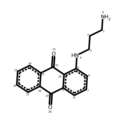 NCCCNc1cccc2c1C(=O)c1ccccc1C2=O